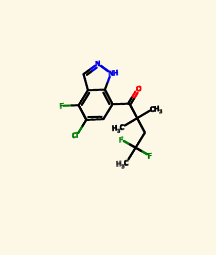 CC(F)(F)CC(C)(C)C(=O)c1cc(Cl)c(F)c2cn[nH]c12